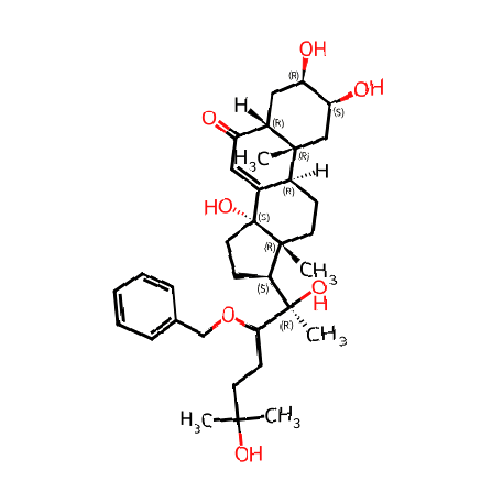 CC(C)(O)CCC(OCc1ccccc1)[C@](C)(O)[C@H]1CC[C@@]2(O)C3=CC(=O)[C@@H]4C[C@@H](O)[C@@H](O)C[C@]4(C)[C@H]3CC[C@]12C